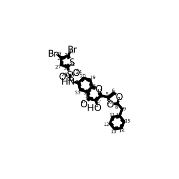 O=c1c(O)c(C2=COC(Cc3ccccc3)O2)oc2ccc(NS(=O)(=O)c3cc(Br)c(Br)s3)cc12